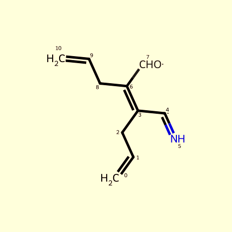 C=CC/C([C]=N)=C(/[C]=O)CC=C